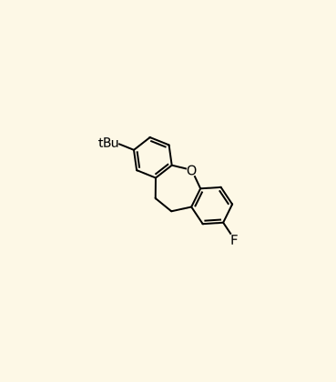 CC(C)(C)c1ccc2c(c1)CCc1cc(F)ccc1O2